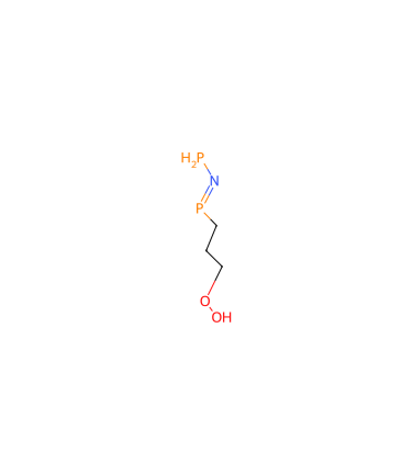 OOCCCP=NP